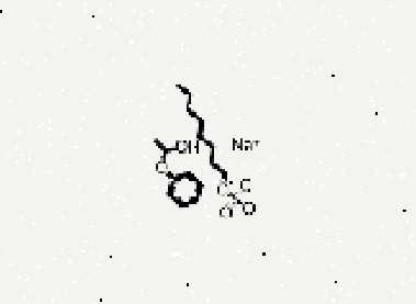 CC(O)Oc1ccccc1.CCCCCCCCOS(=O)(=O)[O-].[Na+]